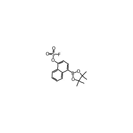 CC1(C)OB(c2ccc(OS(=O)(=O)F)c3ccccc23)OC1(C)C